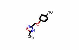 Cc1nc(COc2ccc(N=O)cc2)no1